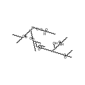 CCCCCCCCC(=O)NCCOCCOCCCN(C)CCN(CCCCCC(=O)OCC(CCCCCC)CCCCCCCC)CCCCCC(=O)OCC(CCCCCCCC)CC(CCCC)CCCCC(CCCCCC)C(=O)OCCCCCCCCCN(CCCCCCCCCOC(=O)C(CCCC)CCCCCC)CCN(CCCO)CCCCNC(=O)CCCCCCC